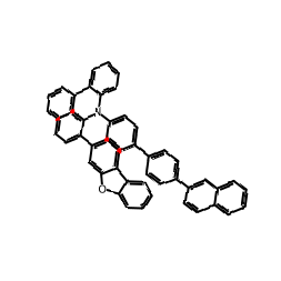 c1ccc(-c2ccccc2N(c2ccc(-c3ccc(-c4ccc5ccccc5c4)cc3)cc2)c2ccccc2-c2ccc3c(c2)oc2ccccc23)cc1